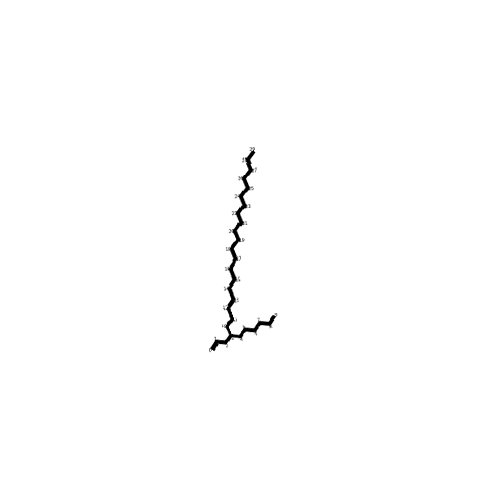 [CH]=CCC(CCCCCC)CCCCCCCCCCCCCCCCCCCC